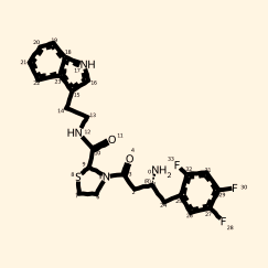 N[C@@H](CC(=O)N1CCSC1C(=O)NCCc1c[nH]c2ccccc12)Cc1cc(F)c(F)cc1F